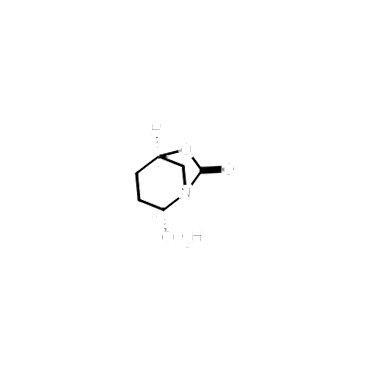 O=C(O)[C@@H]1CC[C@@H]2CN1C(=O)O2